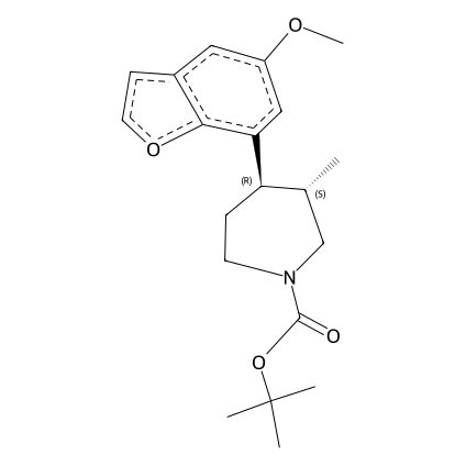 COc1cc([C@@H]2CCN(C(=O)OC(C)(C)C)C[C@H]2C)c2occc2c1